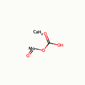 [CaH2].[O]=[Mo][O]C(=O)O